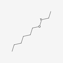 CCCCCC[O][Ti][CH2]C